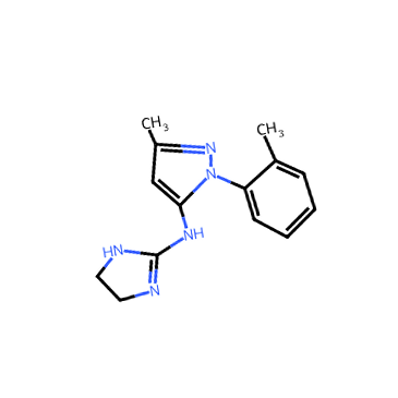 Cc1cc(NC2=NCCN2)n(-c2ccccc2C)n1